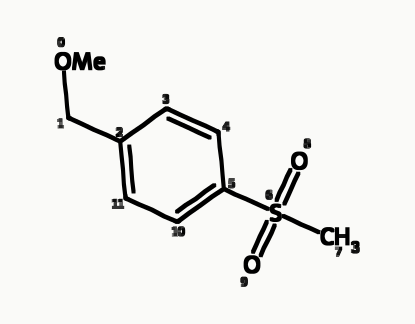 COCc1ccc(S(C)(=O)=O)cc1